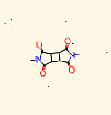 CN1C(=O)C2C(C1=O)C1C(=O)N(C)C(=O)C21